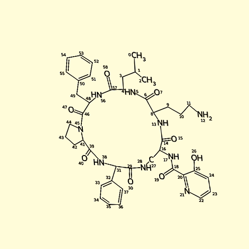 CC(C)CC1NC(=O)C(CCCN)NC(=O)C(NC(=O)c2ncccc2O)CNC(=O)C(c2ccccc2)NC(=O)C2CCCN2C(=O)C(Cc2ccccc2)NC1=O